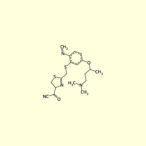 C=Nc1ccc(OC(C)CCN(C)C)cc1SCC1=NC(C(=O)C#N)CS1